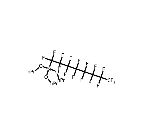 CCCO[Si](OCCC)(OCCC)C(F)(F)C(F)(F)C(F)(F)C(F)(F)C(F)(F)C(F)(F)C(F)(F)C(F)(F)F